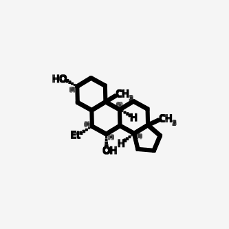 CC[C@@H]1C2C[C@H](O)CCC2(C)[C@H]2CCC3(C)CCC[C@H]3C2[C@@H]1O